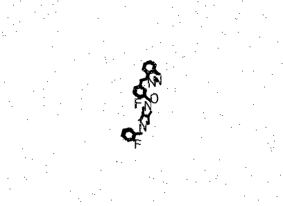 O=C(c1cc(Cc2nncc3ccccc23)ccc1F)N1CC2CN(Cc3ccccc3F)CC2C1